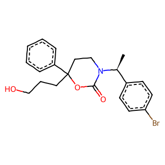 C[C@@H](c1ccc(Br)cc1)N1CCC(CCCO)(c2ccccc2)OC1=O